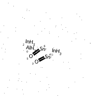 [AlH3].[InH3].[InH3].[O]=[Sn].[O]=[Sn]